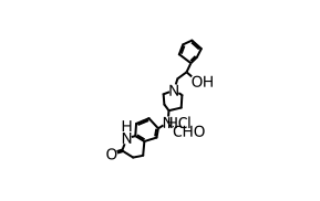 Cl.O=CN(c1ccc2c(c1)CCC(=O)N2)C1CCN(CC(O)c2ccccc2)CC1